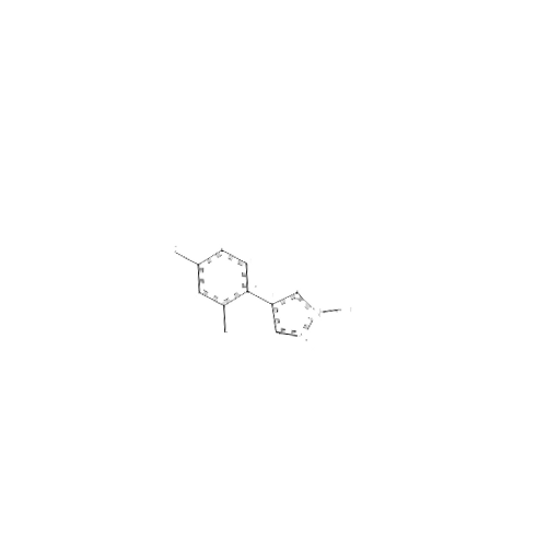 CCn1cc(-c2ccc(C)cc2C)cn1